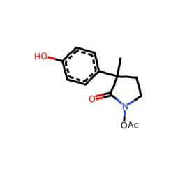 CC(=O)ON1CCC(C)(c2ccc(O)cc2)C1=O